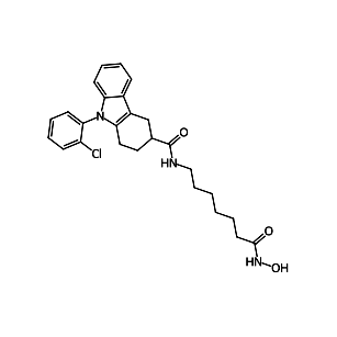 O=C(CCCCCCNC(=O)C1CCc2c(c3ccccc3n2-c2ccccc2Cl)C1)NO